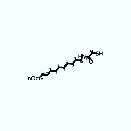 CCCCCCCCC=CCCCCCCCCNC(=O)CS